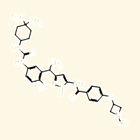 Cc1ccc(NC(=O)NC2CCC(C)(C)CC2)cc1C(C)c1cc(NC(=O)c2ccc(OC3CN(C(C)C)C3)cc2)[nH]n1